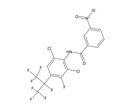 O=C(Nc1c(Cl)cc(C(F)(C(F)(F)F)C(F)(F)F)c(F)c1Cl)c1cccc([N+](=O)[O-])c1